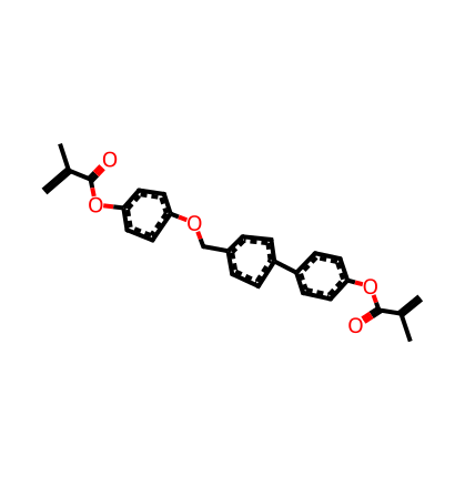 C=C(C)C(=O)Oc1ccc(OCc2ccc(-c3ccc(OC(=O)C(=C)C)cc3)cc2)cc1